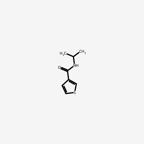 CC(C)NC(=O)c1ccsc1